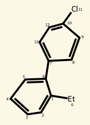 [CH2]Cc1ccccc1-c1ccc(Cl)cc1